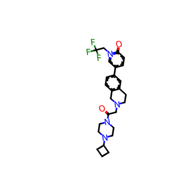 O=C(CN1CCc2cc(-c3ccc(=O)n(CC(F)(F)F)c3)ccc2C1)N1CCN(C2CCC2)CC1